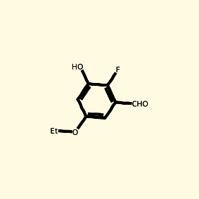 CCOc1cc(O)c(F)c(C=O)c1